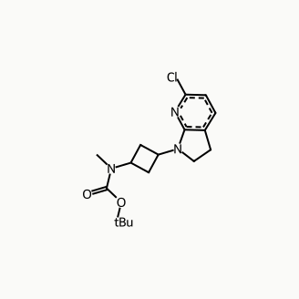 CN(C(=O)OC(C)(C)C)C1CC(N2CCc3ccc(Cl)nc32)C1